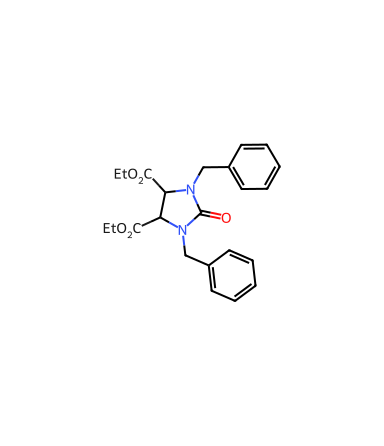 CCOC(=O)C1C(C(=O)OCC)N(Cc2ccccc2)C(=O)N1Cc1ccccc1